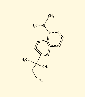 CCC(C)(C)c1ccc2c(N(C)C)cccc2c1